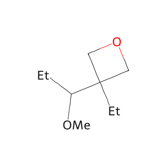 CCC(OC)C1(CC)COC1